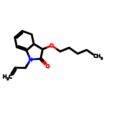 C=CCN1C(=O)C(OCCCCC)C2CC=CC=C21